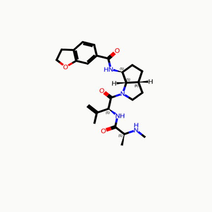 C=C(C)[C@H](NC(=O)[C@H](C)NC)C(=O)N1CC[C@H]2CC[C@H](NC(=O)c3ccc4c(c3)OCC4)[C@H]21